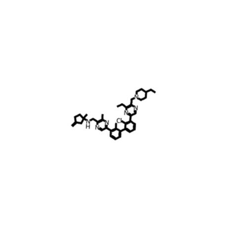 C=C1CCC(C)(NCc2ncc(-c3cccc(-c4cccc(-c5cnc(CN6CCC(CC)CC6)c(CC)n5)c4Cl)c3C)nc2C)C1